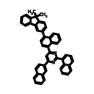 CC1(C)c2ccccc2-c2cc(-c3ccc(-c4cc(-c5ccc6ccccc6c5)nc(-c5cccc6ccccc56)n4)c4ccccc34)ccc21